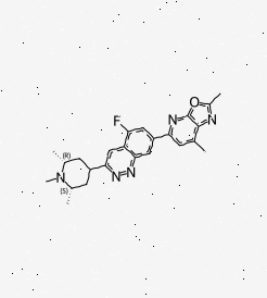 Cc1nc2c(C)cc(-c3cc(F)c4cc(C5C[C@@H](C)N(C)[C@@H](C)C5)nnc4c3)nc2o1